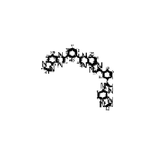 c1cc(-c2cnc3c(ccc4nccnc43)n2)cc(-c2cnc3c(ccc4nc(-c5cccc(-c6cnc7c(ccc8nccnc87)n6)c5)cnc43)n2)c1